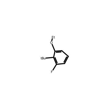 CCOc1cccc(F)c1C(C)(C)C